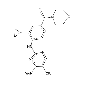 CNc1nc(Nc2ccc(C(=O)N3CCOCC3)cc2C2CC2)ncc1C(F)(F)F